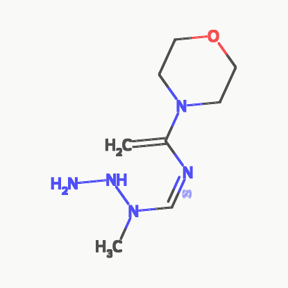 C=C(/N=C\N(C)NN)N1CCOCC1